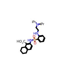 CC(C)N(CCNc1ccccc1S(=O)(=O)Nc1ccc2c(c1C(=O)O)CCCC2)C(C)C